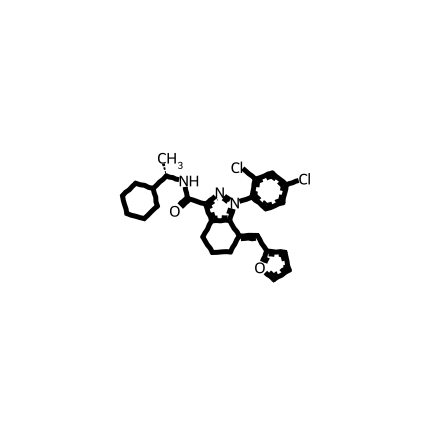 C[C@H](NC(=O)c1nn(-c2ccc(Cl)cc2Cl)c2c1CCC/C2=C\c1ccco1)C1CCCCC1